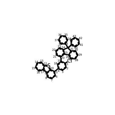 Clc1ccc(-c2cccc3c2sc2ccccc23)cc1-c1cccc2c1-c1ccccc1C2(c1ccccc1)c1ccccc1